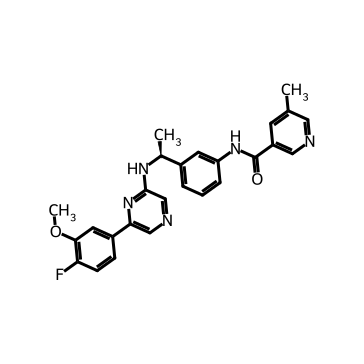 COc1cc(-c2cncc(N[C@@H](C)c3cccc(NC(=O)c4cncc(C)c4)c3)n2)ccc1F